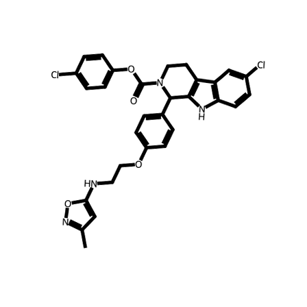 Cc1cc(NCCOc2ccc(C3c4[nH]c5ccc(Cl)cc5c4CCN3C(=O)Oc3ccc(Cl)cc3)cc2)on1